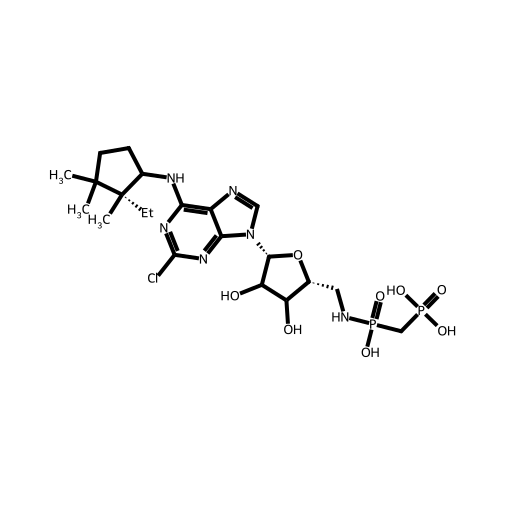 CC[C@@]1(C)C(Nc2nc(Cl)nc3c2ncn3[C@@H]2O[C@H](CNP(=O)(O)CP(=O)(O)O)C(O)C2O)CCC1(C)C